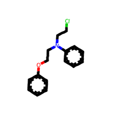 ClCCN(CCOc1ccccc1)c1ccccc1